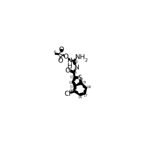 CS(=O)(=O)ONC(N)=NC(=O)c1cc2c(Cl)cccc2s1